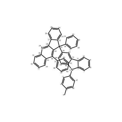 Cc1ccc(-n2c3ccccc3c3cc(C4(c5ccccc5)c5ccccc5-c5nc6ccccc6c(-c6ccccc6)c54)ccc32)cc1